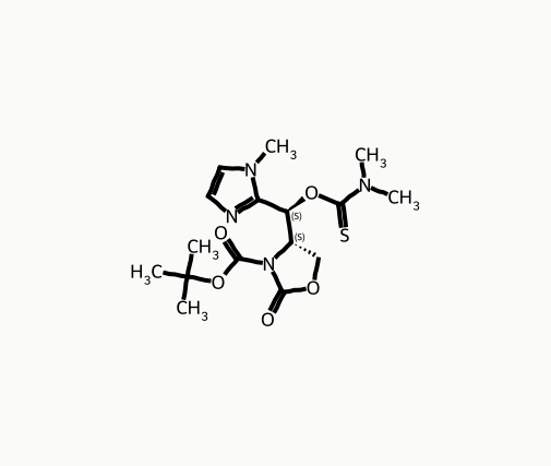 CN(C)C(=S)O[C@H](c1nccn1C)[C@@H]1COC(=O)N1C(=O)OC(C)(C)C